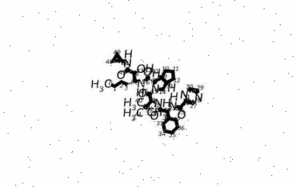 CCCC[C@@H](NC(=O)[C@@H]1[C@H]2CCC[C@H]2CN1C(=O)[C@@H](NC(=O)[C@@H](NC(=O)c1cnccn1)C1CCCCC1)C(C)(C)C)C(O)C(=O)NC1CC1